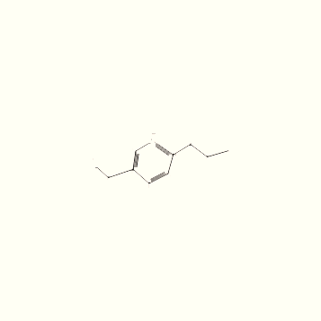 CCCc1ccc(CCl)cn1